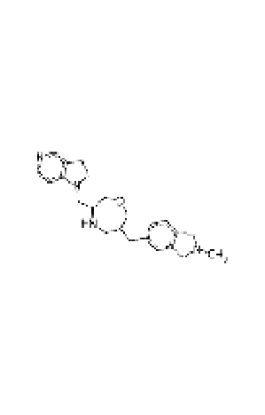 CN1Cc2ccc(CC3CNC(CN4CCc5cnccc54)COC3)cc2C1